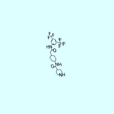 O=C(CC1CCC(NC(=O)C2CCNCC2)CC1)Nc1cc(C(F)(F)F)cc(C(F)(F)F)c1